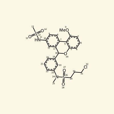 COc1cccc2c1-c1ccc(NS(C)(=O)=O)cc1C(c1cccc(N(C)S(=O)(=O)CCCCl)c1)O2